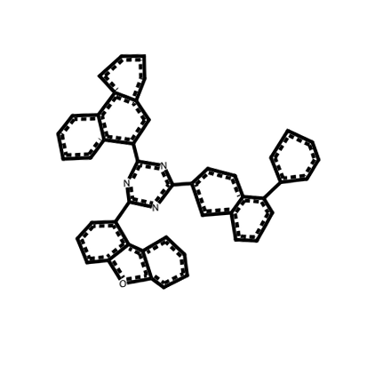 c1ccc(-c2cccc3cc(-c4nc(-c5cc6ccccc6c6ccccc56)nc(-c5cccc6oc7ccccc7c56)n4)ccc23)cc1